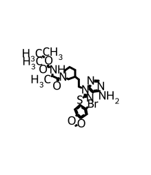 C[C@@H](NC(=O)OC(C)(C)C)C(=O)N1CCCC(CCn2c(Sc3cc4c(cc3Br)OCO4)nc3c(N)ncnc32)C1